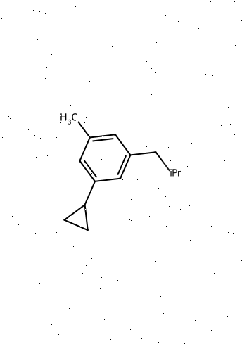 Cc1cc(CC(C)C)cc(C2CC2)c1